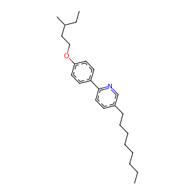 CCCCCCCCc1ccc(-c2ccc(OCCC(C)CC)cc2)nc1